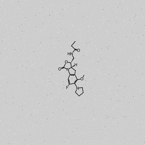 CCC(=O)NC[C@@H]1OC(=O)N2c3cc(F)c(N4CCCC4)c(OC)c3C[C@@H]12